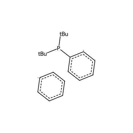 CC(C)(C)P(c1[c]cccc1)C(C)(C)C.[c]1ccccc1